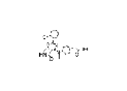 O=C(O)Cc1ccc(Nc2nc(-c3ccccc3Cl)nc3c2C(=O)NC3)cc1